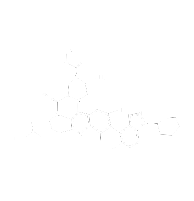 C[C@@H]1CN2c3c4c(nc5c(F)c(-c6c(Cl)ccc7c6cnn7C6CCCCO6)c(Cl)cc35)O[C@H](CN(C)C)CN4C(=C=O)[C@H]2CN1C(=O)OC(C)(C)C